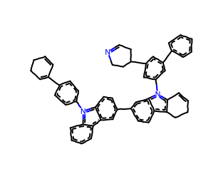 C1=CC(c2ccc(-n3c4ccccc4c4cc(-c5ccc6c7c(n(-c8cc(-c9ccccc9)cc(C9CC=NCC9)c8)c6c5)C=CCC7)ccc43)cc2)=CCC1